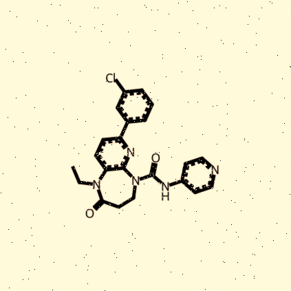 CCN1C(=O)CCN(C(=O)Nc2ccncc2)c2nc(-c3cccc(Cl)c3)ccc21